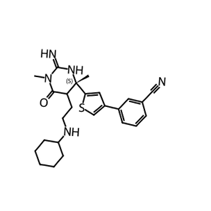 CN1C(=N)N[C@](C)(c2cc(-c3cccc(C#N)c3)cs2)C(CCNC2CCCCC2)C1=O